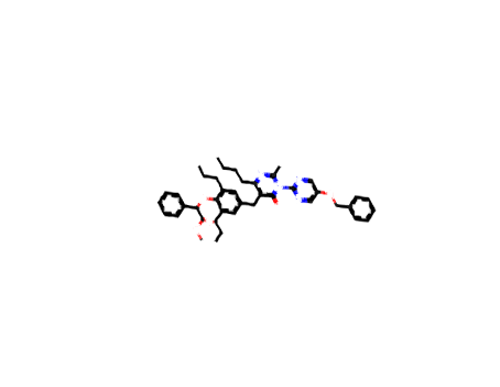 CCCCc1nc(C)n(-c2ncc(OCc3ccccc3)cn2)c(=O)c1Cc1cc(CCC)c(OC(C(=O)OC)c2ccccc2)c(CCC)c1